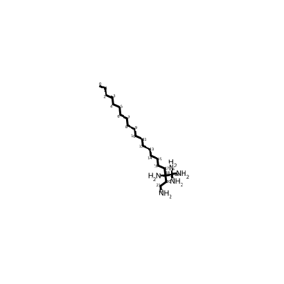 CCCCCCCCCCCCCCCCCCC(N)(CCN)C(N)(N)N